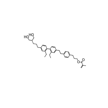 C=C(C)C(=O)OCCCc1ccc(CCc2ccc(-c3ccc(CCCC(CO)CO)cc3CC)c(CC)c2)cc1